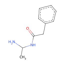 CC(N)NC(=O)Cc1ccccc1